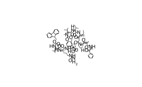 CC[C@H](C)[C@@H]([C@@H](CC(=O)N1CCC[C@H]1[C@H](OC)[C@@H](C)C(=O)N[C@H](C)[C@@H](O)c1ccccc1)OC)N(C)C(=O)[C@@H](NC(=O)[C@H](C(C)C)N(C)C(=O)OCc1ccc(NC(=O)[C@H](CCCNC(N)=O)NC(=O)[C@@H](NC(=O)OCC2c3ccccc3-c3ccccc32)C(C)C)cc1CCS(=O)(=O)O)C(C)C